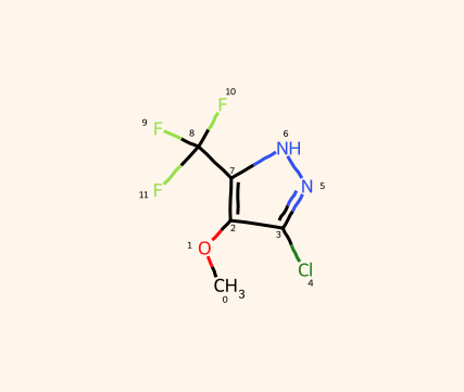 COc1c(Cl)n[nH]c1C(F)(F)F